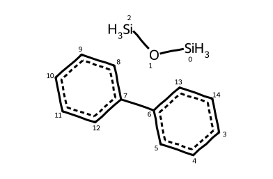 [SiH3]O[SiH3].c1ccc(-c2ccccc2)cc1